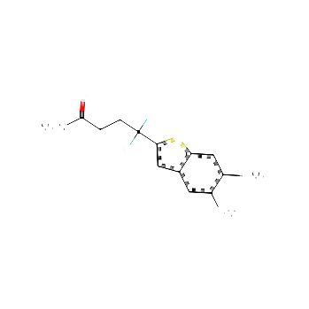 CNC(=O)CCC(F)(F)c1cc2cc(OC)c(OC)cc2s1